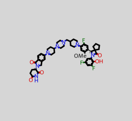 COc1cc(N2CCC(CN3CCN(C4CCN(c5ccc6c(c5)CN([C@H]5CCC(=O)NC5=O)C6=O)CC4)CC3)CC2)c(F)cc1[C@@H]1N(c2cc(F)cc(F)c2O)C(=O)C12CCCC2